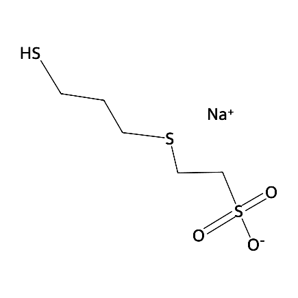 O=S(=O)([O-])CCSCCCS.[Na+]